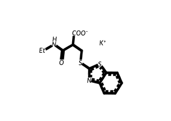 CCNC(=O)C(CSc1nc2ccccc2s1)C(=O)[O-].[K+]